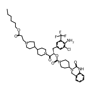 CCCCCCOC(=O)CCN1CCC(C2CCN(C(=O)[C@@H](Cc3cc(Cl)c(N)c(C(F)(F)F)c3)OC(=O)N3CCC(N4Cc5ccccc5NC4=O)CC3)CC2)CC1